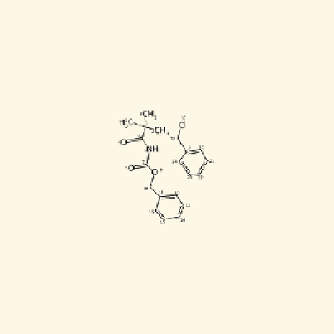 CC(C)(C)C(=O)NC(=O)OCc1ccccc1.ClCc1ccccc1